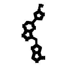 CC(C)n1cc(-c2cnc3nnn(Cc4cc5[nH]ncc5s4)c3n2)cn1